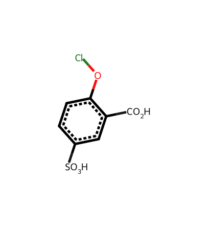 O=C(O)c1cc(S(=O)(=O)O)ccc1OCl